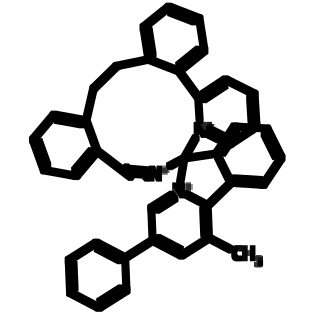 Cc1cc(-c2ccccc2)c[n+]2c1-c1ccccc1C21[n+]2ccccc2-c2ccccc2CCc2ccccc2-c2cccc[n+]21